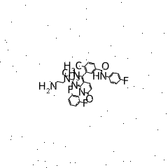 Cc1ccc(C(=O)Nc2ccc(F)cc2)cc1-c1nc(N(C)CCN)nc2c1ccc(=O)n2-c1c(F)cccc1F